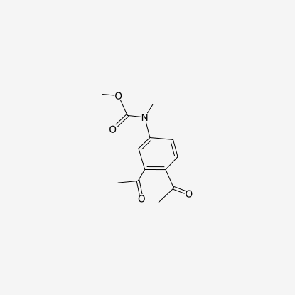 COC(=O)N(C)c1ccc(C(C)=O)c(C(C)=O)c1